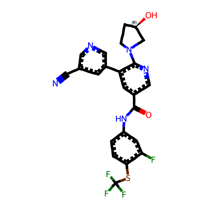 N#Cc1cncc(-c2cc(C(=O)Nc3ccc(SC(F)(F)F)c(F)c3)cnc2N2CC[C@@H](O)C2)c1